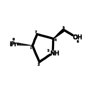 CC(C)[C@H]1CN[C@H](CO)C1